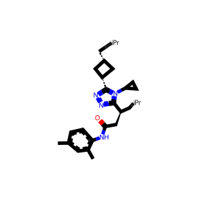 Cc1ccc(NC(=O)C[C@H](CC(C)C)c2nnc([C@H]3C[C@@H](CC(C)C)C3)n2C2CC2)c(C)c1